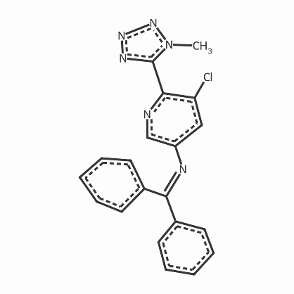 Cn1nnnc1-c1ncc(N=C(c2ccccc2)c2ccccc2)cc1Cl